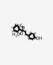 COC(CCc1ccc(O)cc1)(OC)c1ccccc1